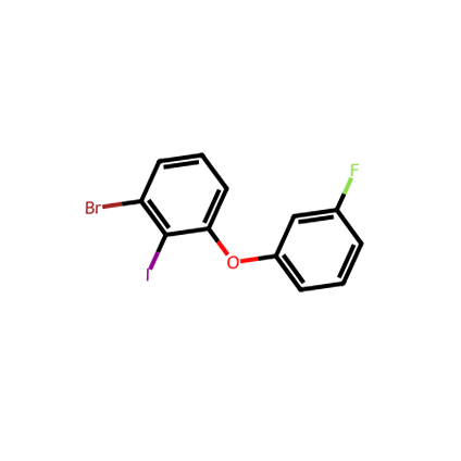 Fc1cccc(Oc2cccc(Br)c2I)c1